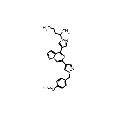 CCC[C@@H](C)n1cc(-c2nc(-c3cnn(Cc4ccc(OC)cc4)c3)cn3nccc23)cn1